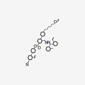 C=COCCCCCCc1ccc(-c2ccc(C(=O)Oc3ccc(-c4ccc(C#N)cc4F)cc3)cc2/C=N/N=C(\c2ccccc2C)c2ccccc2C=C)cc1